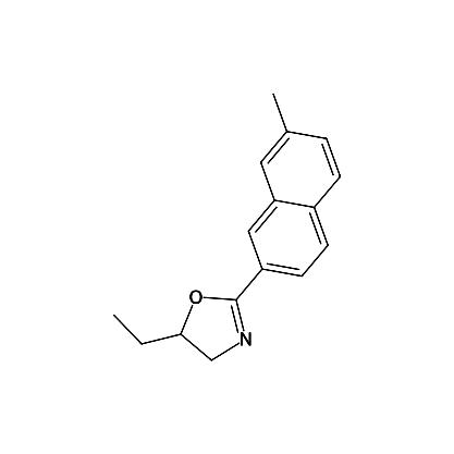 CCC1CN=C(c2ccc3ccc(C)cc3c2)O1